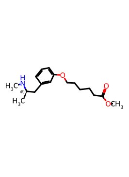 CN[C@H](C)Cc1cccc(OCCCCCC(=O)OC)c1